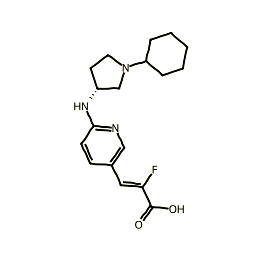 O=C(O)/C(F)=C/c1ccc(N[C@@H]2CCN(C3CCCCC3)C2)nc1